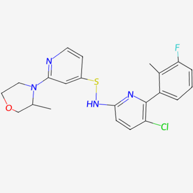 Cc1c(F)cccc1-c1nc(NSc2ccnc(N3CCOCC3C)c2)ccc1Cl